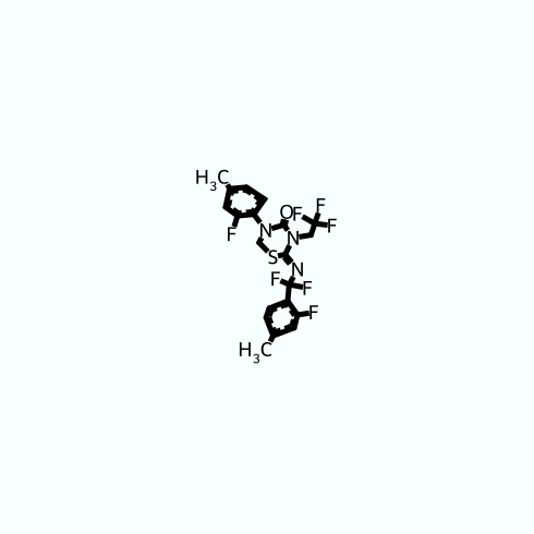 Cc1ccc(N2CSC(=NC(F)(F)c3ccc(C)cc3F)N(CC(F)(F)F)C2=O)c(F)c1